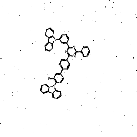 Fc1cc(-c2ccc(-c3nc(-c4ccccc4)nc(-c4cccc(-n5c6c(c7ccccc75)CCC=C6)c4)n3)cc2)ccc1-n1c2ccccc2c2ccccc21